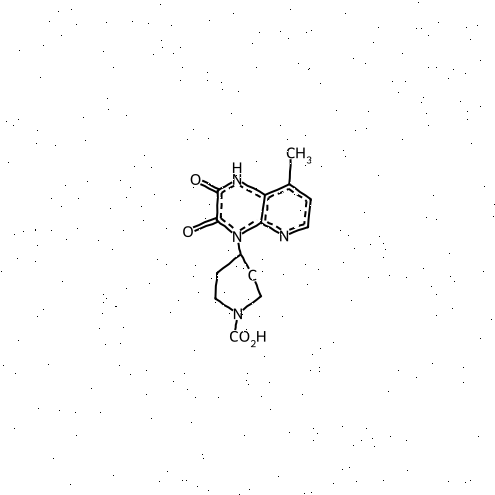 Cc1ccnc2c1[nH]c(=O)c(=O)n2C1CCN(C(=O)O)CC1